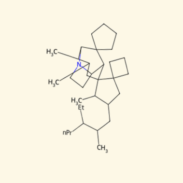 CCCC(CC)C(C)CC1CC2(CCC2)C2(CC(C)C(C)C3N4CCC4C2C32CCCC2)C1C